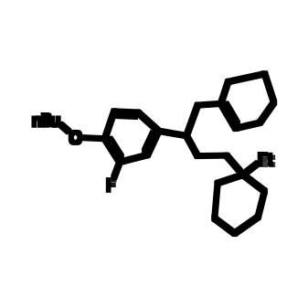 CCCCOc1ccc(C(CCC2(CC)CCCCC2)CC2=CCCCC2)cc1F